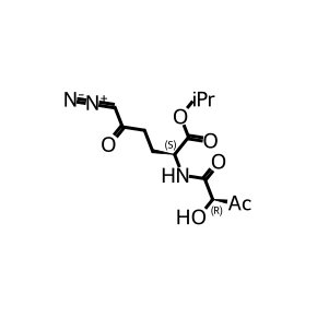 CC(=O)[C@@H](O)C(=O)N[C@@H](CCC(=O)C=[N+]=[N-])C(=O)OC(C)C